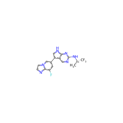 C[C@H](Nc1ncc2c(-c3cc(F)c4nccn4c3)c[nH]c2n1)C(F)(F)F